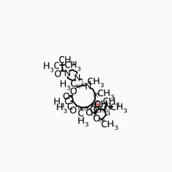 CO[C@]1(C)C[C@@H](C)CN(C)[C@@H](CN2CCN(C(=O)C(C)(C)C)CC2)[C@H](C)OC(=O)C(C)(C)C(=O)[C@H](C)[C@H]1O[C@@H]1O[C@H](C)C[C@H](N(C)C)[C@H]1O